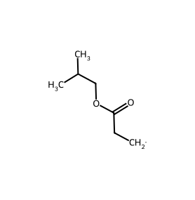 [CH2]CC(=O)OCC(C)C